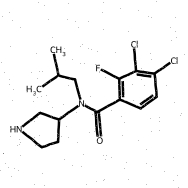 CC(C)CN(C(=O)c1ccc(Cl)c(Cl)c1F)C1CCNC1